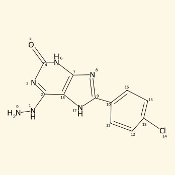 NNc1nc(=O)[nH]c2nc(-c3ccc(Cl)cc3)[nH]c12